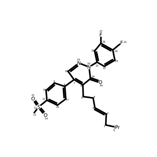 CC(C)C/C=C/CCc1c(-c2ccc(S(C)(=O)=O)cc2)cnn(-c2ccc(F)c(F)c2)c1=O